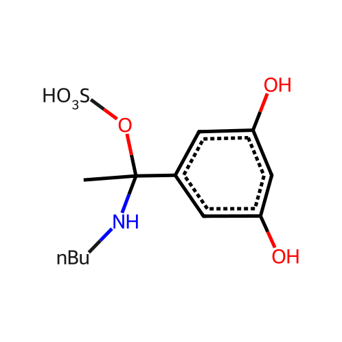 CCCCNC(C)(OS(=O)(=O)O)c1cc(O)cc(O)c1